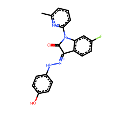 Cc1cccc(N2C(=O)/C(=N\Nc3ccc(O)cc3)c3ccc(F)cc32)n1